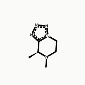 C[C@H]1c2nnnn2CCN1C